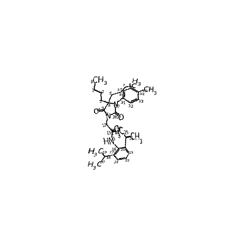 CCCCC1(CCCC)C(=O)N(CC(=O)Nc2c(C(C)C)cccc2C(C)C)C(=O)N1c1ccc(C)cc1